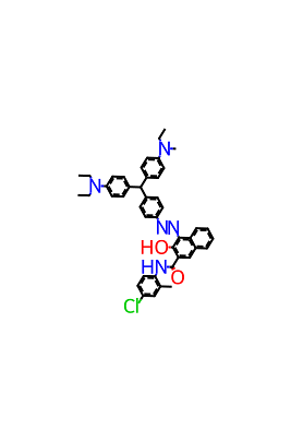 CCN(C)c1ccc(C(c2ccc(/N=N/c3c(O)c(C(=O)Nc4ccc(Cl)cc4C)cc4ccccc34)cc2)c2ccc(N(CC)CC)cc2)cc1